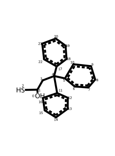 OC(S)CC(c1ccccc1)(c1ccccc1)c1ccccc1